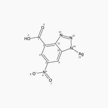 O=C(O)c1cc([N+](=O)[O-])cc2c1nn[n]2[Ag]